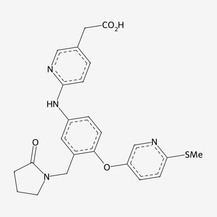 CSc1ccc(Oc2ccc(Nc3ccc(CC(=O)O)cn3)cc2CN2CCCC2=O)cn1